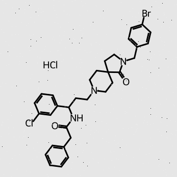 Cl.O=C(Cc1ccccc1)NC(CCN1CCC2(CC1)CCN(Cc1ccc(Br)cc1)C2=O)c1cccc(Cl)c1